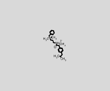 CC(C)Cc1ccc([C@@H](C)C(=O)NCCC[N+](C)(C)Cc2ccccc2)cc1.[I-]